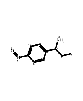 CCC(N)c1ccc(N=O)cc1